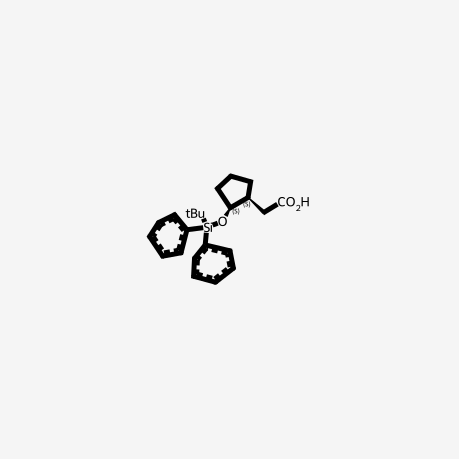 CC(C)(C)[Si](O[C@H]1CCC[C@H]1CC(=O)O)(c1ccccc1)c1ccccc1